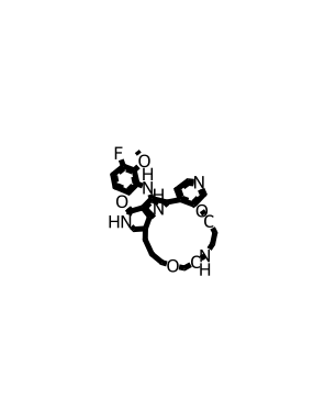 COc1c(F)cccc1Nc1c2[nH]c3c1C(=O)NCC3CCCOCCNCCCOc1cnccc1-2